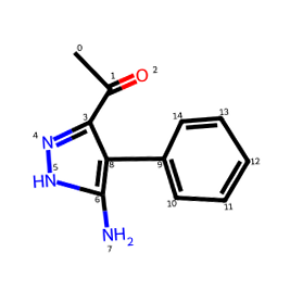 CC(=O)c1n[nH]c(N)c1-c1ccccc1